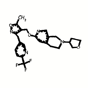 Cc1onc(-c2ccc(C(F)(F)F)nc2)c1COc1cc2c(cn1)CN(C1CCOC1)CC2